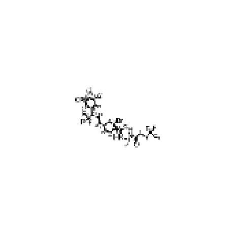 C[C@H](NC(=O)CCC(F)(F)F)NC(=O)c1ccc(C=CC(c2cc(Cl)c(Cl)c(Cl)c2)C(F)(F)F)cc1Br